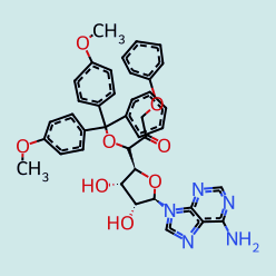 COc1ccc(C(OC(C(=O)COc2ccccc2)[C@H]2O[C@@H](n3cnc4c(N)ncnc43)[C@H](O)[C@@H]2O)(c2ccccc2)c2ccc(OC)cc2)cc1